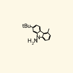 Cc1cccc2c1c1ccc(C(C)(C)C)cc1n2N